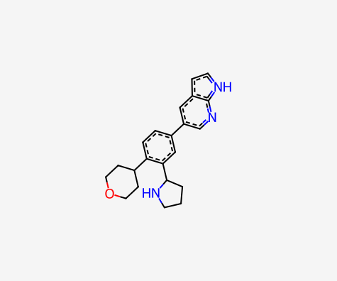 c1cc2cc(-c3ccc(C4CCOCC4)c(C4CCCN4)c3)cnc2[nH]1